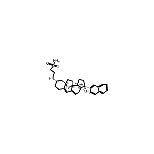 C[C@]12CC=C3C=C4CC[C@H](NCCS(N)(=O)=O)C[C@]45CC[C@]3(O5)[C@@H]1CC[C@@H]2c1ccc2ccccc2c1